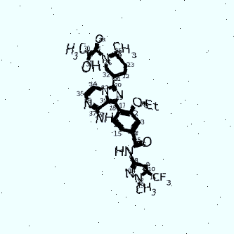 CCOc1cc(C(=O)Nc2cc(C(F)(F)F)n(C)n2)ccc1-c1nc([C@@H]2CC[C@H](C)N(C(=O)[C@@H](C)O)C2)n2ccnc(N)c12